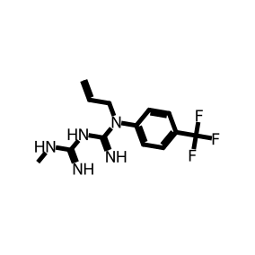 C=CCN(C(=N)NC(=N)NC)c1ccc(C(F)(F)F)cc1